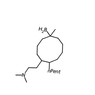 BC1(C)CCCCC(CCCCC)C(CCN(C)C)CCC1